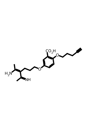 C#CCCCOc1ccc(OCCC/C(C(C)=N)=C(\C)N)cc1C(=O)O